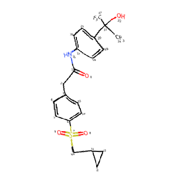 O=C(Cc1ccc(S(=O)(=O)CC2CC2)cc1)Nc1ccc(C(O)(C(F)(F)F)C(F)(F)F)cc1